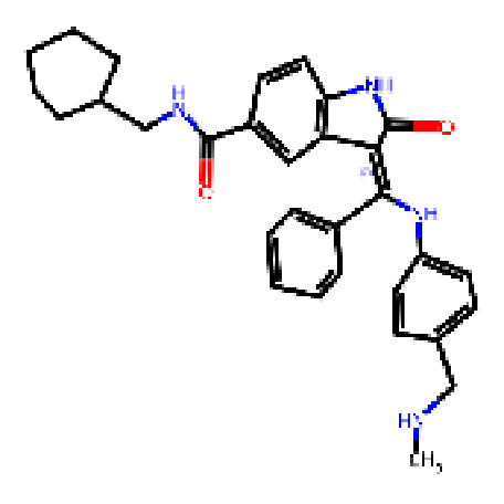 CNCc1ccc(N/C(=C2\C(=O)Nc3ccc(C(=O)NCC4CCCCC4)cc32)c2ccccc2)cc1